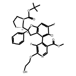 COC(=O)c1cnc(OCCO)c(F)c1-c1c(Cl)c(F)cc2c1C[C@](c1ccccc1)([C@@H]1CCCN1C(=O)OC(C)(C)C)O2